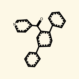 O=C(c1ccncc1)c1cc(-c2ccccc2)ccc1-c1ccccc1